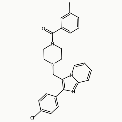 Cc1cccc(C(=O)N2CCN(Cc3c(-c4ccc(Cl)cc4)nc4ccccn34)CC2)c1